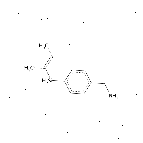 CC=C(C)[SiH2]c1ccc(CN)cc1